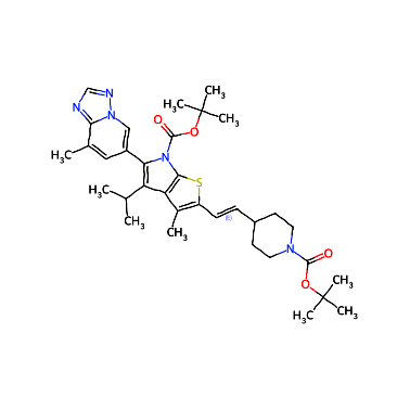 Cc1c(/C=C/C2CCN(C(=O)OC(C)(C)C)CC2)sc2c1c(C(C)C)c(-c1cc(C)c3ncnn3c1)n2C(=O)OC(C)(C)C